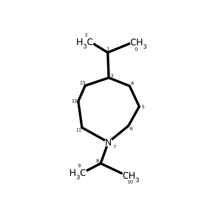 CC(C)C1CCCN(C(C)C)CCC1